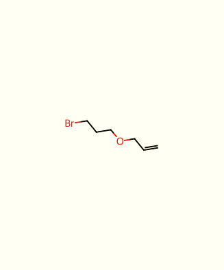 C=CCOCCCBr